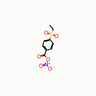 CCS(=O)(=O)c1ccc(C(=O)O[N+](=O)[O-])cc1